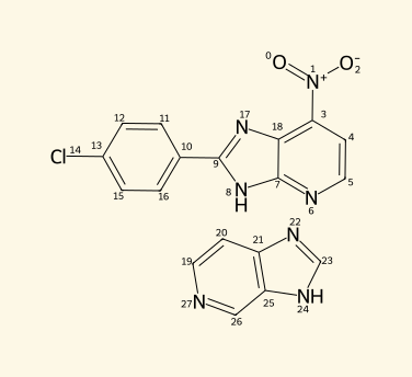 O=[N+]([O-])c1ccnc2[nH]c(-c3ccc(Cl)cc3)nc12.c1cc2nc[nH]c2cn1